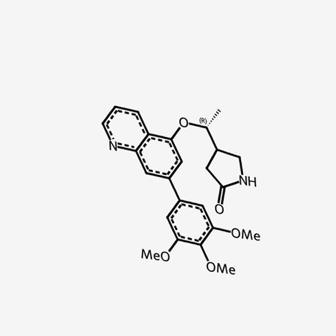 COc1cc(-c2cc(O[C@H](C)C3CNC(=O)C3)c3cccnc3c2)cc(OC)c1OC